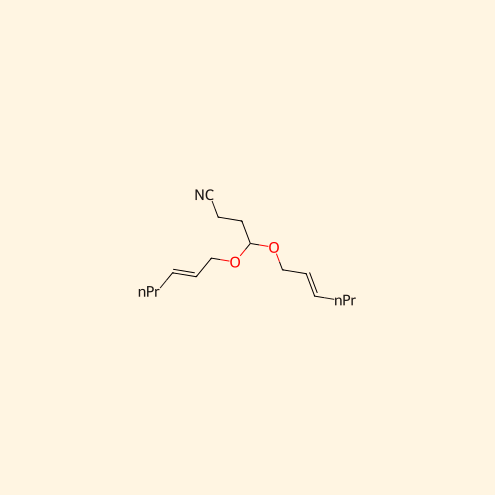 CCC/C=C/COC(CCC#N)OC/C=C/CCC